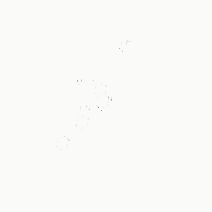 COc1cc2c(Nc3ccc(Oc4ccccc4)cc3)ncnc2cc1OCC1CCN(C)CC1